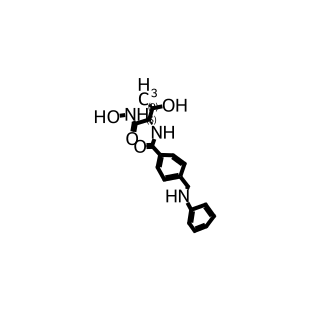 C[C@@H](O)[C@H](NC(=O)c1ccc(CNc2ccccc2)cc1)C(=O)NO